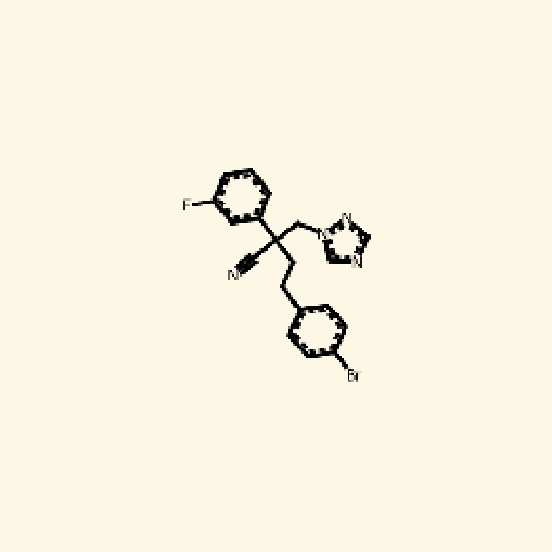 N#CC(CCc1ccc(Br)cc1)(Cn1cncn1)c1cccc(F)c1